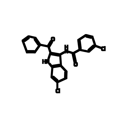 O=C(Nc1c(C(=O)c2ccccc2)[nH]c2cc(Cl)ccc12)c1cccc(Cl)c1